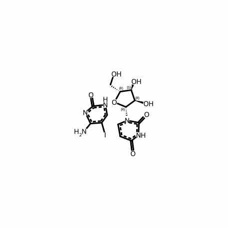 Nc1nc(=O)[nH]cc1I.O=c1ccn([C@@H]2O[C@H](CO)[C@@H](O)[C@H]2O)c(=O)[nH]1